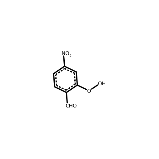 O=Cc1ccc([N+](=O)[O-])cc1OO